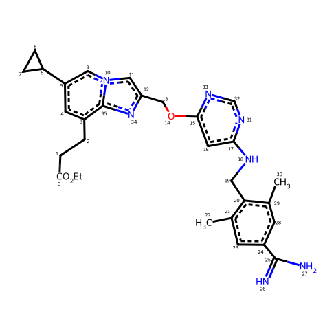 CCOC(=O)CCc1cc(C2CC2)cn2cc(COc3cc(NCc4c(C)cc(C(=N)N)cc4C)ncn3)nc12